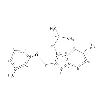 Cc1cccc(OCc2nc3ccc(C)cc3n2CC(C)C)c1